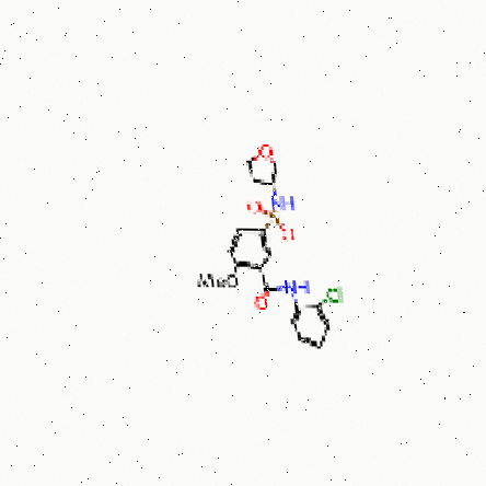 COc1ccc(S(=O)(=O)NC2CCOC2)cc1C(=O)Nc1ccccc1Cl